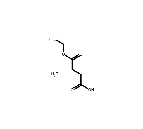 CCOC(=O)CCC(=O)O.O